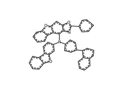 c1ccc(-c2nc3c(N(c4ccc(-c5cccc6ccccc56)cc4)c4ccc5c(c4)oc4ccccc45)c4c(cc3o2)oc2ccccc24)cc1